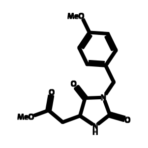 COC(=O)CC1NC(=O)N(Cc2ccc(OC)cc2)C1=O